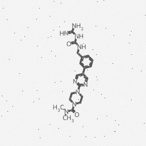 CN(C)C(=O)N1CCN(c2ncc(-c3cccc(CNC(=O)NC(=N)N)c3)cn2)CC1